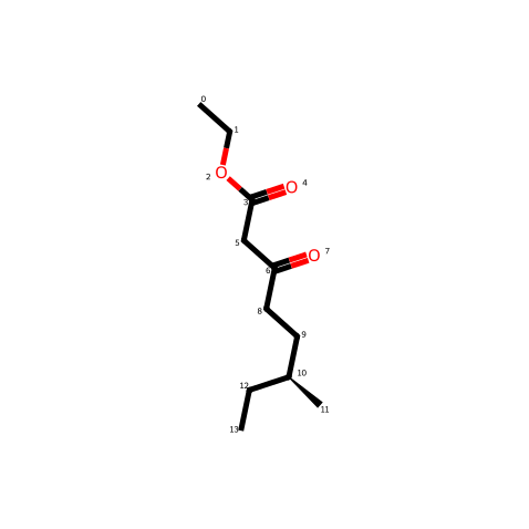 CCOC(=O)CC(=O)CC[C@@H](C)CC